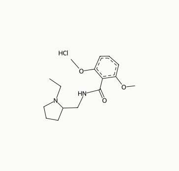 CCN1CCCC1CNC(=O)c1c(OC)cccc1OC.Cl